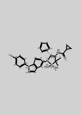 CC1(C)[C@H](NC(=O)C2CC2)[C@@H](c2ccccc2)N(c2ccc3c(cnn3-c3ccc(F)cc3)c2)S1(O)O